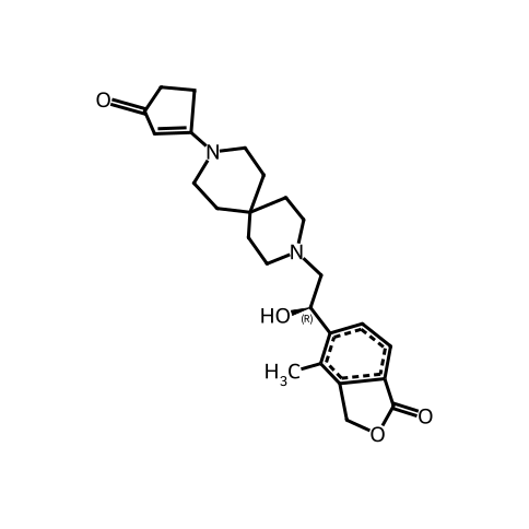 Cc1c([C@@H](O)CN2CCC3(CC2)CCN(C2=CC(=O)CC2)CC3)ccc2c1COC2=O